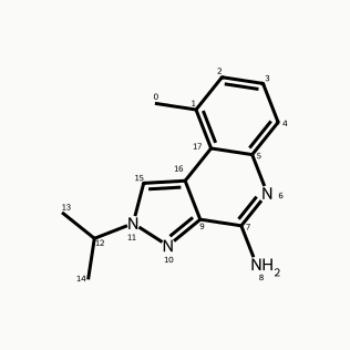 Cc1cccc2nc(N)c3nn(C(C)C)cc3c12